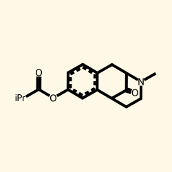 CC(C)C(=O)Oc1ccc2c(c1)C1CCN(C)C(C2)C1=O